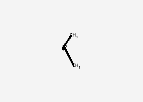 CCCCCCCCCCCCCCCCCc1ccc[n+](CCCCCCCCCCCCC)c1